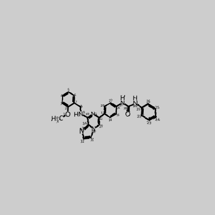 COc1ccccc1CNc1nc(-c2ccc(NC(=O)Nc3ccccc3)cc2)cn2ccnc12